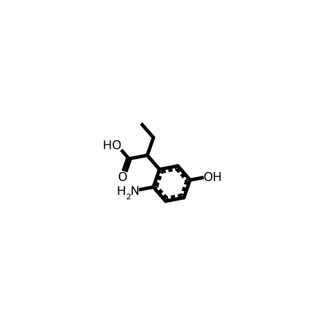 CCC(C(=O)O)c1cc(O)ccc1N